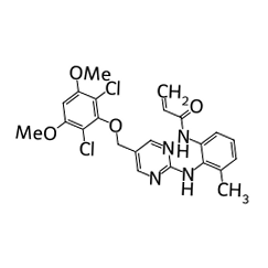 C=CC(=O)Nc1cccc(C)c1Nc1ncc(COc2c(Cl)c(OC)cc(OC)c2Cl)cn1